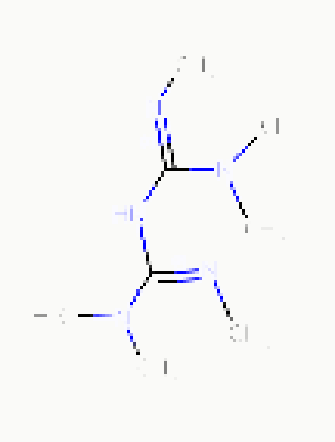 C/N=C(/N/C(=N/C)N(C)C)N(C)C